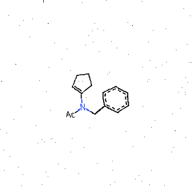 CC(=O)N(Cc1ccccc1)C1=CCCC1